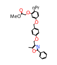 CCCc1ccc(OCc2ccc(OCc3nc(-c4ccccc4)oc3C)cc2)cc1OCC(=O)OC